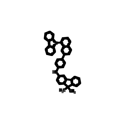 CC1(C)c2ccccc2-c2cc(Nc3ccc(-c4ccc5cccc(-n6c7ccccc7c7ccccc76)c5c4)cc3)ccc21